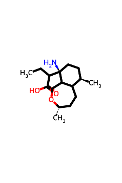 CCC(C(=O)O)[C@]1(N)CC[C@@H](C)C2CC[C@H](C)OCC21